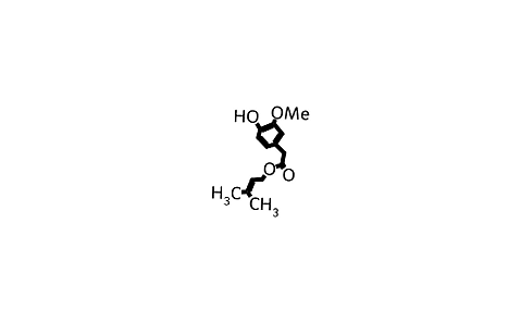 COc1cc(CC(=O)OCC=C(C)C)ccc1O